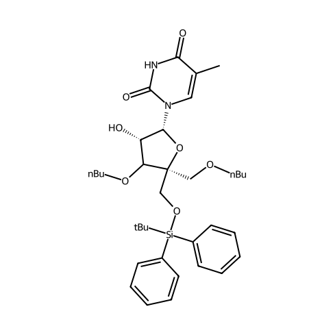 CCCCOC[C@@]1(CO[Si](c2ccccc2)(c2ccccc2)C(C)(C)C)O[C@@H](n2cc(C)c(=O)[nH]c2=O)[C@@H](O)C1OCCCC